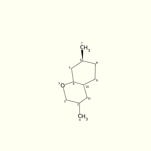 CC1COC2C[C@@H](C)CCC2C1